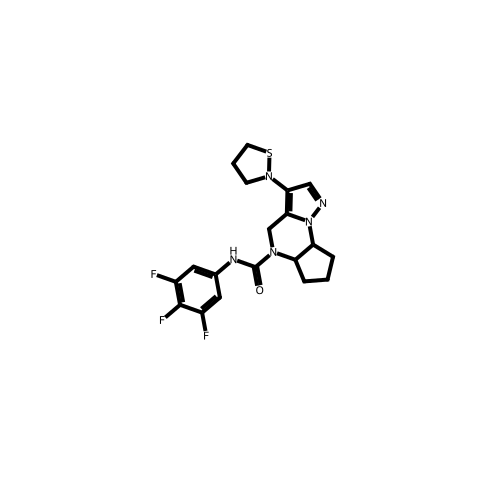 O=C(Nc1cc(F)c(F)c(F)c1)N1Cc2c(N3CCCS3)cnn2C2CCCC21